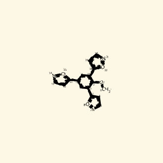 [CH2]Oc1c(-c2ccno2)cc(-c2ccno2)cc1-c1ccno1